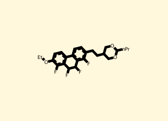 CCCC1OCC(CCc2ccc3c(c2F)C(F)C(F)c2c-3ccc(OCC)c2F)CO1